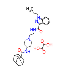 CCCn1nc(C(=O)NCCN2CCC(NC(=O)C34CC5CC(CC(C5)C3)C4)CC2)c2ccccc21.O=C(O)C(=O)O